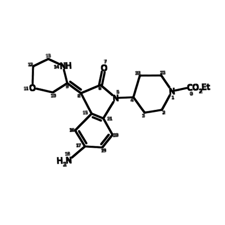 CCOC(=O)N1CCC(N2C(=O)/C(=C3/COCCN3)c3cc(N)ccc32)CC1